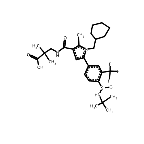 Cc1c(C(=O)NCC(C)(C)C(=O)O)cc(-c2ccc([S+]([O-])NC(C)(C)C)c(C(F)(F)F)c2)n1CC1CCCCC1